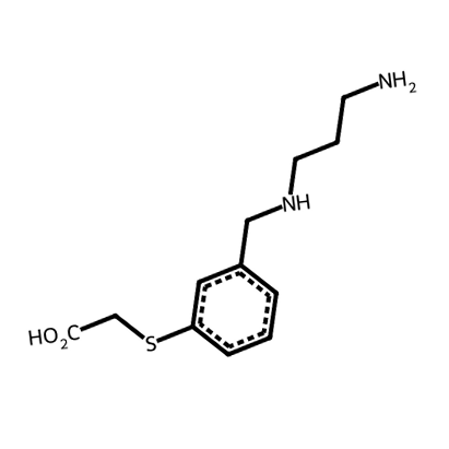 NCCCNCc1cccc(SCC(=O)O)c1